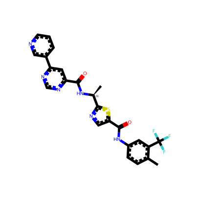 Cc1ccc(NC(=O)c2cnc([C@H](C)NC(=O)c3cc(-c4cccnc4)ncn3)s2)cc1C(F)(F)F